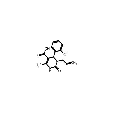 C=CCN1C(=O)NC(C)=C(C(=O)O)C1c1ccccc1Cl